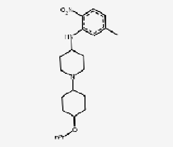 CCCOC1CCC(N2CCC(Nc3cc(C)ccc3[N+](=O)[O-])CC2)CC1